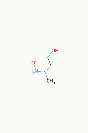 CN(CCO)[NH2+][O-]